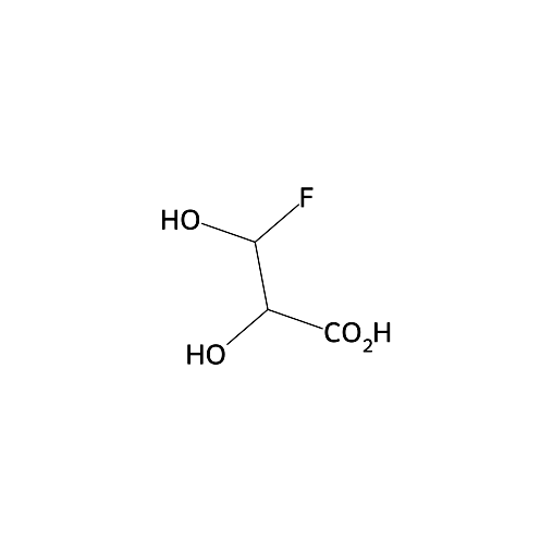 O=C(O)C(O)C(O)F